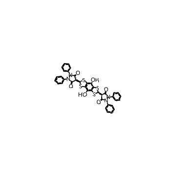 O=C1C(=C2Sc3c(O)c4c(c(O)c3S2)SC(=C2C(=O)N(c3ccccc3)N(c3ccccc3)C2=O)S4)C(=O)N(c2ccccc2)N1c1ccccc1